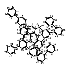 CC1(C)c2cc(-c3ccc(-c4ccccc4)cc3)cc3c2-n2c4c(cc(-c5ccccc5-c5ccccc5)cc4c4cc(-c5ccccc5-c5ccccc5)cc1c42)B3c1c(-c2ccccc2)cc(-c2ccccc2)cc1-c1ccccc1